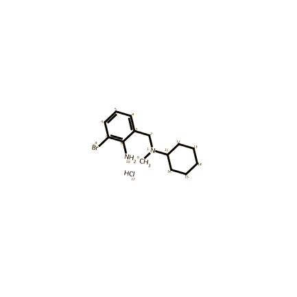 CN(Cc1cccc(Br)c1N)C1CCCCC1.Cl